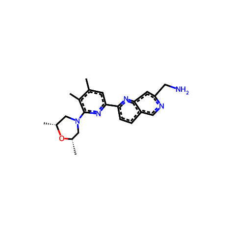 Cc1cc(-c2ccc3cnc(CN)cc3n2)nc(N2C[C@@H](C)O[C@@H](C)C2)c1C